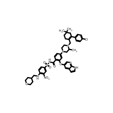 CC1CN(c2ccc(C(=O)NS(=O)(=O)c3ccc(NCC4CCOCC4)c([N+](=O)[O-])c3)c(Oc3cnc4[nH]ccc4c3)c2)CCN1CC1=C(c2ccc(Cl)cc2)CC(C)(C)CC1